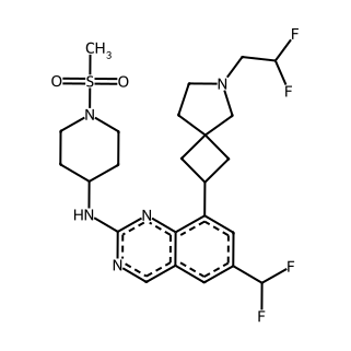 CS(=O)(=O)N1CCC(Nc2ncc3cc(C(F)F)cc(C4CC5(CCN(CC(F)F)C5)C4)c3n2)CC1